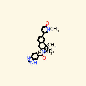 Cn1cc(-c2ccc3c(c2)[C@]2(C)CCN(C(=O)c4ccc5nc[nH]c5c4)[C@H](C3)C2(C)C)ccc1=O